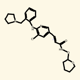 O=C(/C=C/c1cnc(Nc2ccccc2CN2CCCC2)c(Cl)c1)NOC1CCCCO1